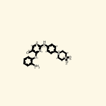 Nc1ccccc1Oc1nc(Nc2ccc(N3CCS(=O)(=O)CC3)cc2)ncc1Cl